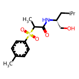 Cc1ccc(S(=O)(=O)C(C)C(=O)N[C@@H](CO)CC(C)C)cc1